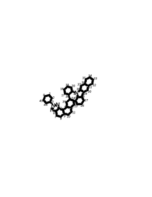 c1ccc(-n2nc3ccc4ccc5ccc(-c6ccccc6-n6c7ccccc7c7cc8ccccc8cc76)cc5c4c3n2)cc1